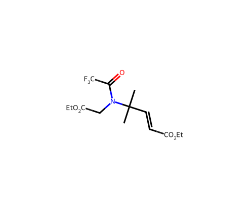 CCOC(=O)/C=C/C(C)(C)N(CC(=O)OCC)C(=O)C(F)(F)F